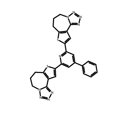 c1ccc(-c2cc(-c3cc4c(s3)CCCn3nnnc3-4)nc(-c3cc4c(s3)CCCn3nnnc3-4)c2)cc1